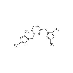 FC(F)(F)c1cc(C(F)(F)F)n(Cc2cccc(Cn3nc(C(F)(F)F)cc3C(F)(F)F)n2)n1